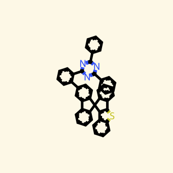 c1ccc(-c2nc(-c3ccccc3)nc(-c3ccccc3-c3ccc4c(c3)-c3ccccc3C43c4ccccc4-c4sc5ccccc5c43)n2)cc1